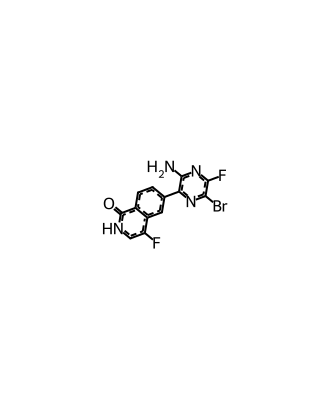 Nc1nc(F)c(Br)nc1-c1ccc2c(=O)[nH]cc(F)c2c1